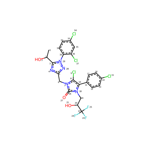 CC(O)c1nc(Cn2c(Cl)c(-c3ccc(Cl)cc3)n(CC(O)C(F)(F)F)c2=O)nn1-c1ccc(Cl)cc1Cl